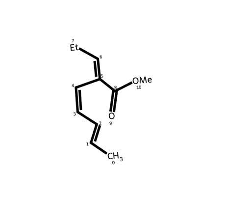 C/C=C/C=C\C(=C/CC)C(=O)OC